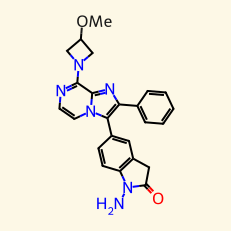 COC1CN(c2nccn3c(-c4ccc5c(c4)CC(=O)N5N)c(-c4ccccc4)nc23)C1